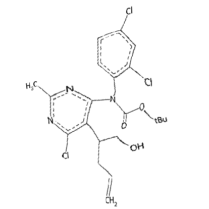 C=CCC(CO)c1c(Cl)nc(C)nc1N(C(=O)OC(C)(C)C)c1ccc(Cl)cc1Cl